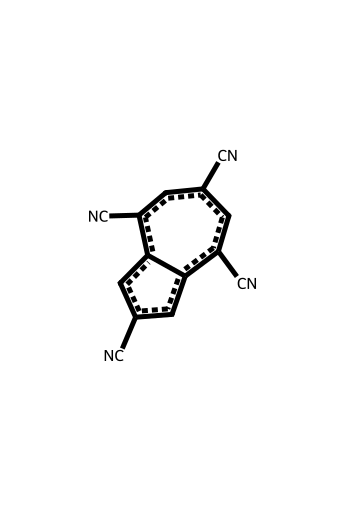 N#Cc1cc(C#N)c2cc(C#N)cc-2c(C#N)c1